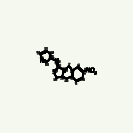 O=[N+]([O-])c1ccc2c(c1)CN1C(=Nc3cccnc3)SCC1C2